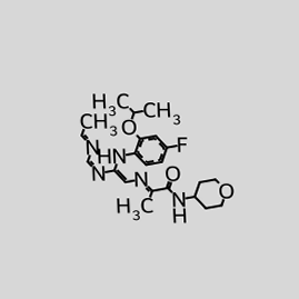 C/C=N/C=N\C(=C\N=C(/C)C(=O)NC1CCOCC1)Nc1ccc(F)cc1OC(C)C